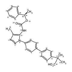 Cc1nnn(-c2ccc(-c3ccc(C(C)(C)C(=O)O)cc3)cc2)c1NC(=O)O[C@H](C)c1ccccc1